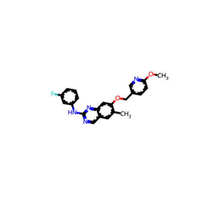 COc1ccc(COc2cc3nc(Nc4cccc(F)c4)ncc3cc2C)cn1